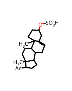 CC(=O)C1CCC2C3CC=C4CC(OS(=O)(=O)O)CCC4(C)C3CCC12C